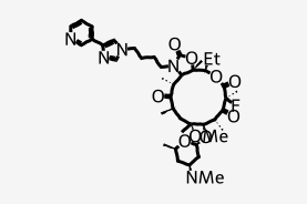 CC[C@H]1OC(=O)[C@@](C)(F)C(=O)[C@H](C)[C@@H](O[C@H]2C[C@@H](NC)C[C@@H](C)O2)[C@](C)(OC)C[C@@H](C)C(=O)[C@H](C)C2N(CCCCn3cnc(-c4cccnc4)c3)C(=O)O[C@@]21C